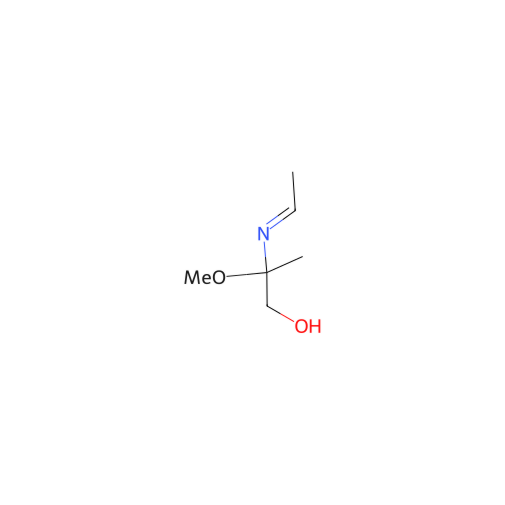 CC=NC(C)(CO)OC